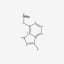 CNCc1cccc2c(C)csc12